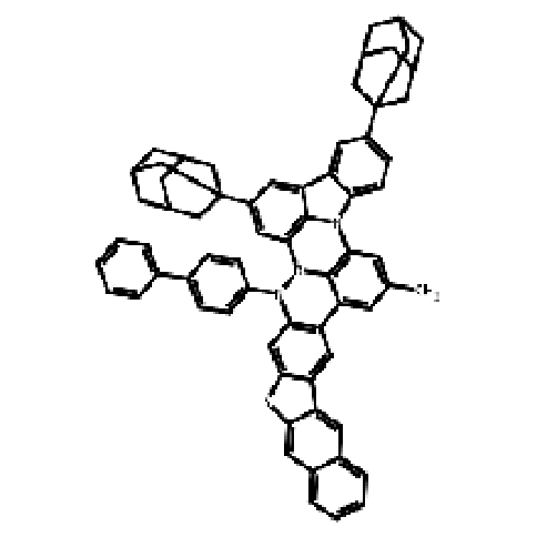 Cc1cc2c3c(c1)-n1c4ccc(C56CC7CC(CC(C7)C5)C6)cc4c4cc(C56CC7CC(CC(C7)C5)C6)cc(c41)B3N(c1ccc(-c3ccccc3)cc1)c1cc3sc4cc5ccccc5cc4c3cc1-2